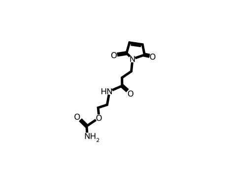 NC(=O)OCCNC(=O)CCN1C(=O)C=CC1=O